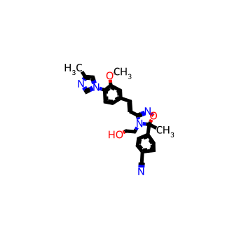 COc1cc(/C=C/C2=NOC(C)(c3ccc(C#N)cc3)N2CCO)ccc1-n1cnc(C)c1